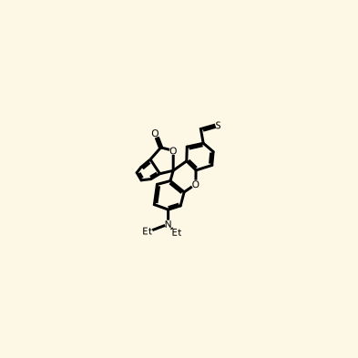 CCN(CC)c1ccc2c(c1)Oc1ccc(C=S)cc1C21OC(=O)c2ccccc21